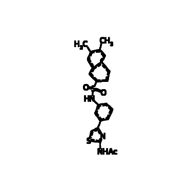 CC(=O)Nc1nc(-c2cccc(NS(=O)(=O)c3ccc4cc(C)c(C)cc4c3)c2)cs1